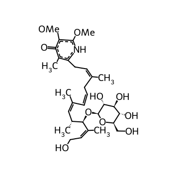 COc1[nH]c(C/C=C(/C)C/C=C\C(C)=C/[C@@H](C)[C@@H](O[C@@H]2O[C@H](CO)[C@@H](O)[C@H](O)[C@H]2O)/C(C)=C\CO)c(C)c(=O)c1OC